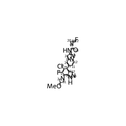 COC1CN(c2c(F)c(Cl)c(-c3ccn4nc(NC(=O)[C@@H]5C[C@@H]5F)cc4c3)c3cn[nH]c23)C1